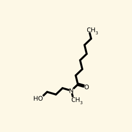 CCCCCCCC(=O)N(C)CCCO